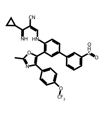 Cc1nc(-c2ccc(OC(F)(F)F)cc2)c(-c2cc(-c3cccc([SH](=O)=O)c3)ccc2N/C=C(/C#N)C(=N)C2CC2)o1